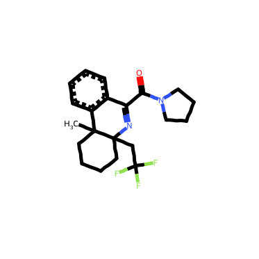 CC12CCCCC1(CC(F)(F)F)N=C(C(=O)N1CCCC1)c1ccccc12